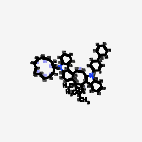 CC(C)/C=C1/c2c(n(-c3ccc(-c4ccccc4)cc3)c3ccccc23)/C=C\c2c(ccc3c2c2ccccc2n3C2=C/C=C\C=C/C=C/C=C/C=C\2)C1(C)C